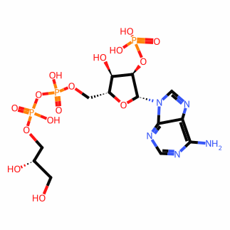 Nc1ncnc2c1ncn2[C@@H]1O[C@H](COP(=O)(O)OP(=O)(O)OC[C@@H](O)CO)[C@@H](O)[C@H]1OP(=O)(O)O